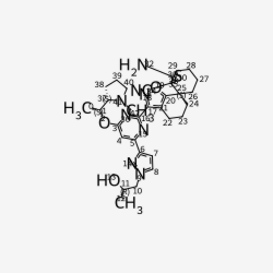 C[C@H](Oc1cc(-c2ccn(C[C@@H](C)O)n2)nc(-c2noc3c2CCC[C@@]32CCCc3sc(N)c(C#N)c32)n1)[C@@H]1CCCN1C